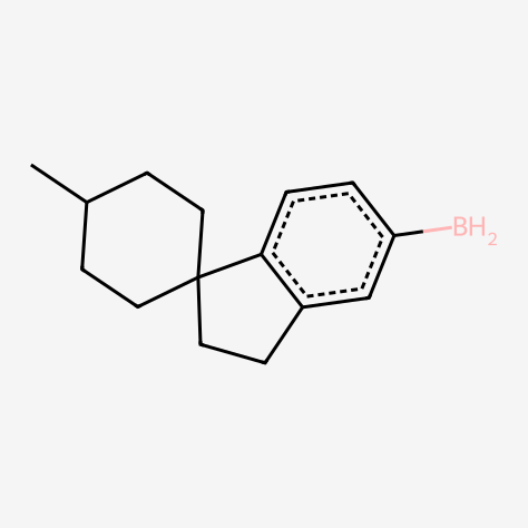 Bc1ccc2c(c1)CCC21CCC(C)CC1